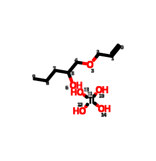 C=CCOCC(O)CCC.[OH][Ti]([OH])([OH])[OH]